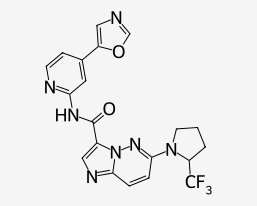 O=C(Nc1cc(-c2cnco2)ccn1)c1cnc2ccc(N3CCCC3C(F)(F)F)nn12